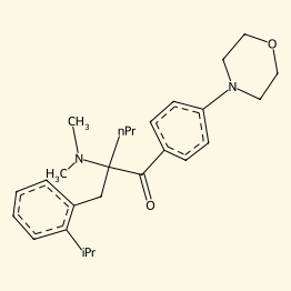 CCCC(Cc1ccccc1C(C)C)(C(=O)c1ccc(N2CCOCC2)cc1)N(C)C